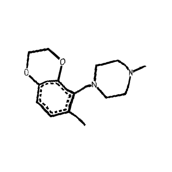 Cc1ccc2c(c1N1CCN(C)CC1)OCCO2